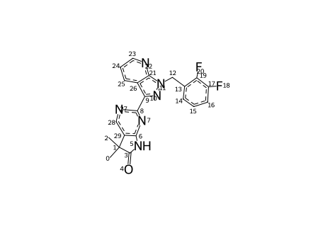 CC1(C)C(=O)Nc2nc(-c3nn(Cc4cccc(F)c4F)c4ncccc34)ncc21